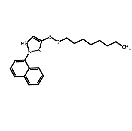 CCCCCCCCSSC1=CNN(c2cccc3ccccc23)S1